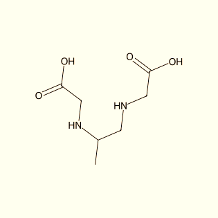 CC(CNCC(=O)O)NCC(=O)O